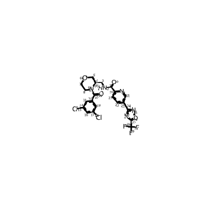 O=C(NC[C@@H]1COCCN1C(=O)c1cc(Cl)cc(Cl)c1)c1ccc(-c2noc(C(F)(F)F)n2)cn1